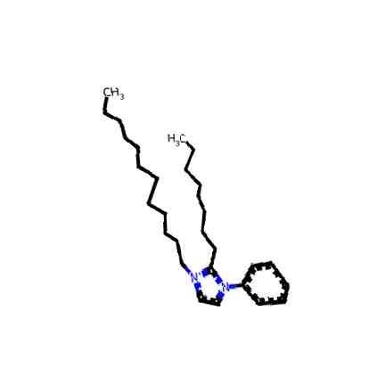 CCCCCCCCCCCC[n+]1ccn(-c2ccccc2)c1CCCCCCCC